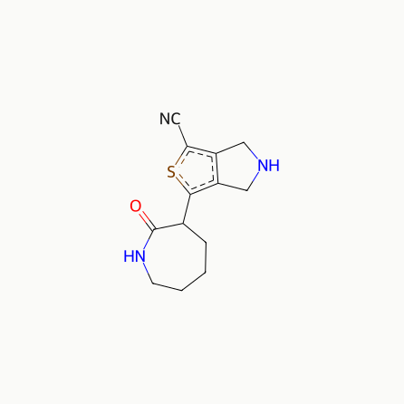 N#Cc1sc(C2CCCCNC2=O)c2c1CNC2